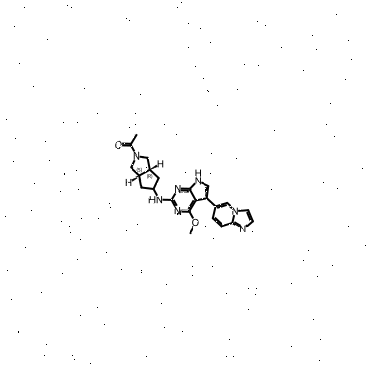 COc1nc(NC2C[C@@H]3CN(C(C)=O)C[C@@H]3C2)nc2[nH]cc(-c3ccc4nccn4c3)c12